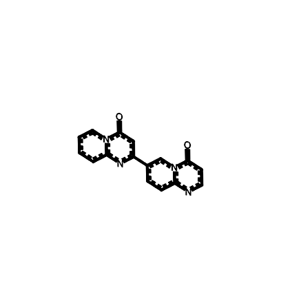 O=c1ccnc2ccc(-c3cc(=O)n4ccccc4n3)cn12